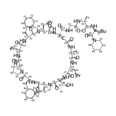 CC[C@H](C)[C@H](NC(=O)[C@H](C)NC(=O)CNC(=O)[C@@H]1CC(=O)N[C@@H](C)C(=O)N[C@@H](CC(C)C)C(=O)N[C@@H]([C@@H](C)O)C(=O)N(C)[C@@H](CC(C)C)C(=O)N[C@@H](Cc2ccccc2)C(=O)N2CCC[C@H]2C(=O)N[C@@H](C(C)C)C(=O)N[C@@H](Cc2ccccc2)C(=O)N(C)[C@@H](CC(C)C)C(=O)N1)C(=O)N1CCCCC1